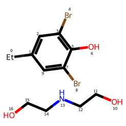 CCc1cc(Br)c(O)c(Br)c1.OCCNCCO